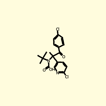 CC(C)(C)N(C(=O)O)C(C)(C(=O)c1ccc(Cl)cc1)c1ccc(Cl)nc1